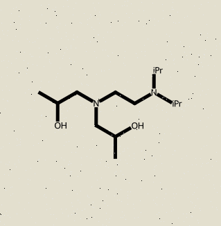 CC(O)CN(CCN(C(C)C)C(C)C)CC(C)O